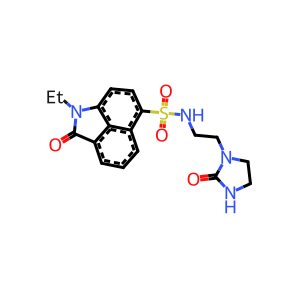 CCN1C(=O)c2cccc3c(S(=O)(=O)NCCN4CCNC4=O)ccc1c23